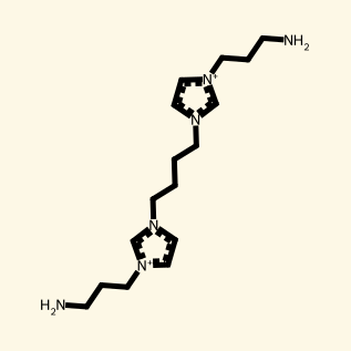 NCCC[n+]1ccn(CCCCn2cc[n+](CCCN)c2)c1